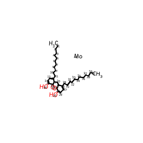 CCCCCCCCCCCCC1=CC=C(O)C(=O)C1CC1C(=O)C(O)=CC=C1CCCCCCCCCCCC.[Mo]